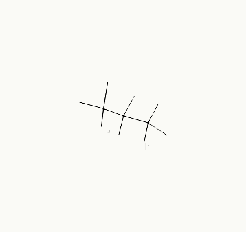 CC(C)C(C)(C)C(C)(C)C(C)(C)C(C)(C)C